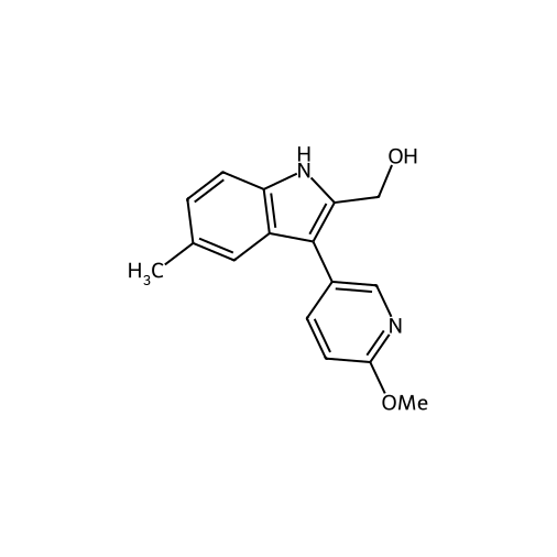 COc1ccc(-c2c(CO)[nH]c3ccc(C)cc23)cn1